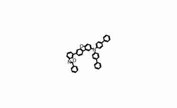 c1ccc(-c2ccc(N(c3ccc(-c4ccccc4)cc3)c3ccc4oc5cc(-c6cccc7nc(-c8ccccc8)oc67)ccc5c4c3)cc2)cc1